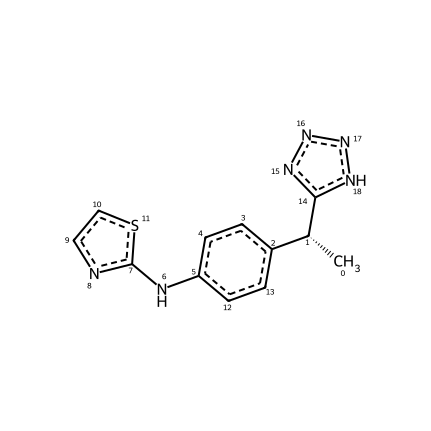 C[C@H](c1ccc(Nc2nccs2)cc1)c1nnn[nH]1